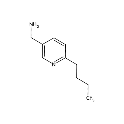 NCc1ccc(CCCC(F)(F)F)nc1